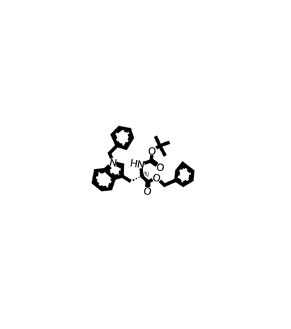 CC(C)(C)OC(=O)N[C@@H](Cc1cn(Cc2ccccc2)c2ccccc12)C(=O)OCc1ccccc1